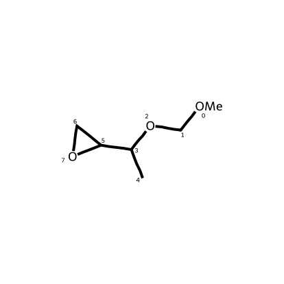 COCOC(C)C1CO1